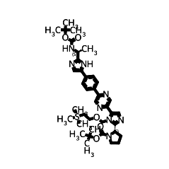 C[C@H](NC(=O)OC(C)(C)C)c1ncc(-c2ccc(-c3cnc(-c4cnc([C@@H]5CCCN5C(=O)OC(C)(C)C)n4COCCS(C)(C)C)cn3)cc2)[nH]1